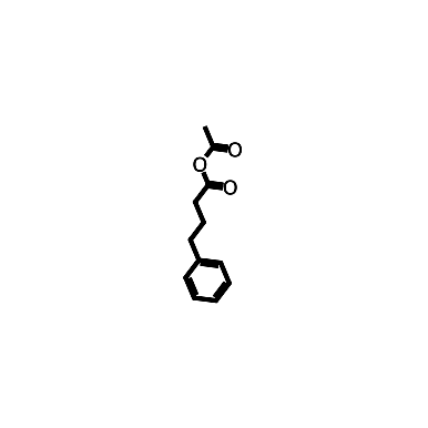 CC(=O)OC(=O)CCCc1ccccc1